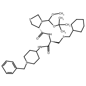 COC(OC(C)(C)C)N1CSC[C@H]1C(=O)N[C@@H](CSCC1CCCCC1)C(=O)NC1CCN(Cc2ccccc2)CC1